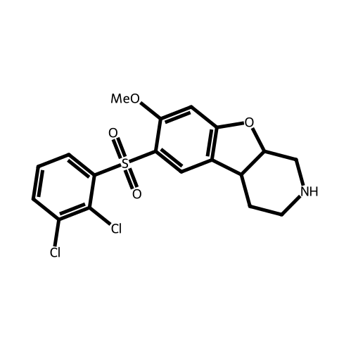 COc1cc2c(cc1S(=O)(=O)c1cccc(Cl)c1Cl)C1CCNCC1O2